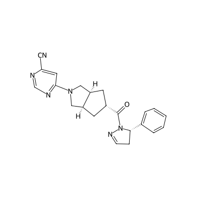 N#Cc1cc(N2C[C@H]3C[C@H](C(=O)N4N=CC[C@H]4c4ccccc4)C[C@H]3C2)ncn1